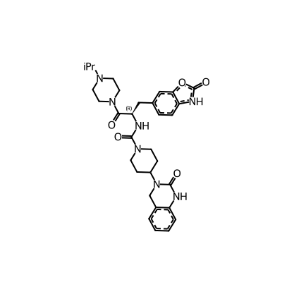 CC(C)N1CCN(C(=O)[C@@H](Cc2ccc3[nH]c(=O)oc3c2)NC(=O)N2CCC(N3Cc4ccccc4NC3=O)CC2)CC1